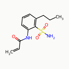 C=CC(=O)Nc1cccc(CCC)c1S(N)(=O)=O